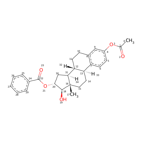 CC(=O)Oc1ccc2c(c1)CC[C@@H]1[C@@H]2CC[C@]2(C)[C@@H](O)[C@H](OC(=O)c3ccccc3)C[C@@H]12